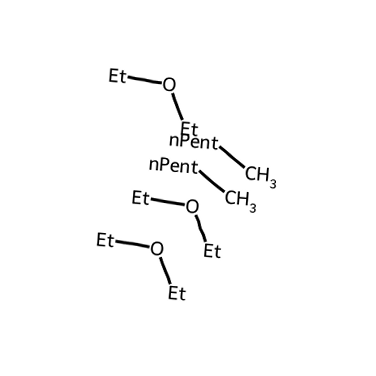 CCCCCC.CCCCCC.CCOCC.CCOCC.CCOCC